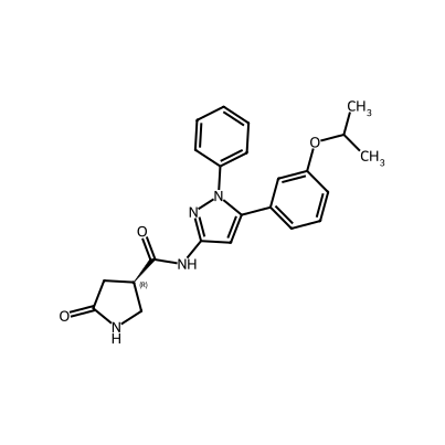 CC(C)Oc1cccc(-c2cc(NC(=O)[C@H]3CNC(=O)C3)nn2-c2ccccc2)c1